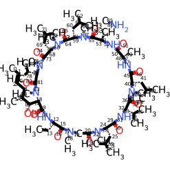 CC=CC[C@@H](C)[C@@H](O)[C@H]1C(=O)N[C@@H](CC)C(=O)N(C)CC(=O)N(C)[C@@H](CC(C)C)C(=O)N[C@@H](C(C)C)C(=O)N(C)[C@@H](CC(C)C)C(=O)N[C@@H](C)C(=O)N[C@H](C)C(=O)N(C)[C@@H](CC(C)C)C(=O)N(C)[C@@H](CC(C)C)C(=O)N(C)[C@@H](C(C)C)C(=O)N1C.CN